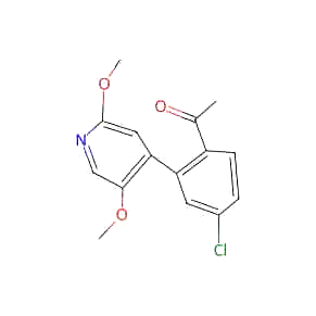 COc1cc(-c2cc(Cl)ccc2C(C)=O)c(OC)cn1